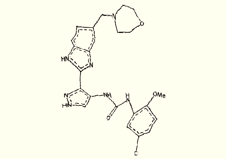 COc1ccc(Cl)cc1NC(=O)Nc1c[nH]nc1-c1nc2cc(CN3CCOCC3)ccc2[nH]1